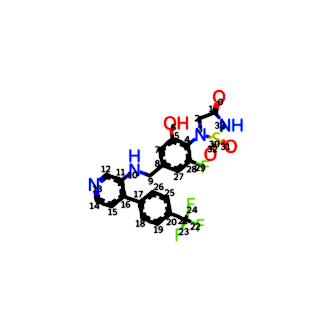 O=C1CN(c2c(O)cc(CNc3cnccc3-c3ccc(C(F)(F)F)cc3)cc2F)S(=O)(=O)N1